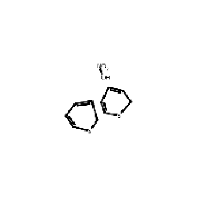 C1=CCSC=C1.C1=CCSC=C1.O=[N+]([O-])O